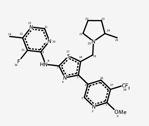 COc1ncc(-c2nc(Nc3ncnc(C)c3F)sc2CN2CCCC2C)cc1C(F)(F)F